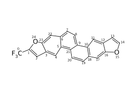 FC(F)(F)c1cc2cc3c(ccc4c5cc6ccoc6cc5ccc34)cc2o1